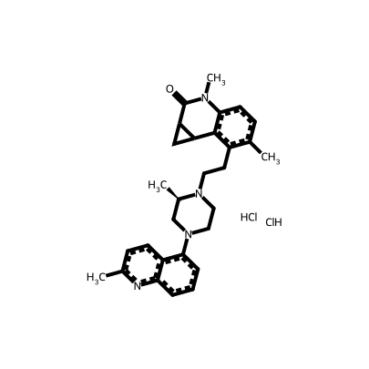 Cc1ccc2c(N3CCN(CCc4c(C)ccc5c4C4CC4C(=O)N5C)[C@H](C)C3)cccc2n1.Cl.Cl